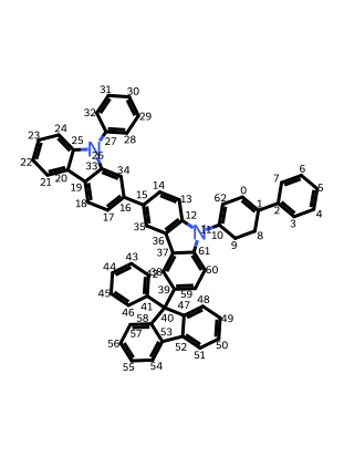 C1=C(c2ccccc2)CCC(n2c3ccc(-c4ccc5c6ccccc6n(-c6ccccc6)c5c4)cc3c3cc(C4(c5ccccc5)c5ccccc5-c5ccccc54)ccc32)=C1